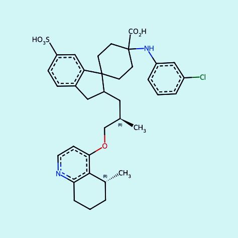 C[C@@H](COc1ccnc2c1[C@H](C)CCC2)CC1Cc2ccc(S(=O)(=O)O)cc2C12CCC(Nc1cccc(Cl)c1)(C(=O)O)CC2